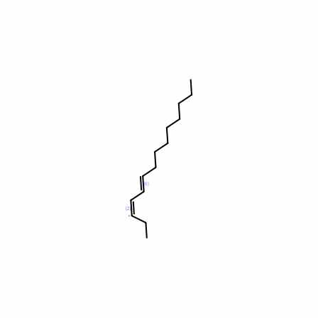 CC/[C]=C\C=C\CCCCCCCC